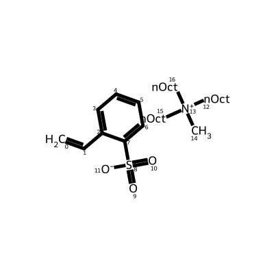 C=Cc1ccccc1S(=O)(=O)[O-].CCCCCCCC[N+](C)(CCCCCCCC)CCCCCCCC